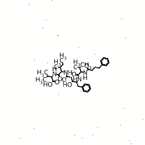 CCC(C)C(NC(=O)CC(O)C(Cc1ccccc1)NC(=O)C(NC(=O)CCCc1ccccc1)C(C)C)C(=O)NC(C(=O)O)C(C)C